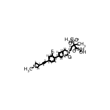 CN1CC(C#Cc2ccc(-c3cc4n(c3)C(=O)N(CCC(C)(C(=O)NO)S(C)(=O)=O)C4)c(F)c2)C1